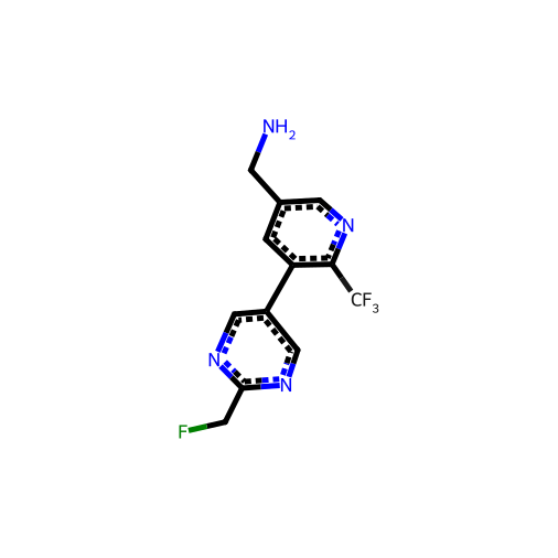 NCc1cnc(C(F)(F)F)c(-c2cnc(CF)nc2)c1